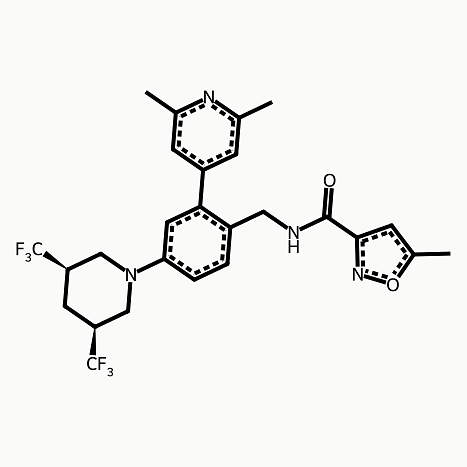 Cc1cc(-c2cc(N3C[C@H](C(F)(F)F)C[C@H](C(F)(F)F)C3)ccc2CNC(=O)c2cc(C)on2)cc(C)n1